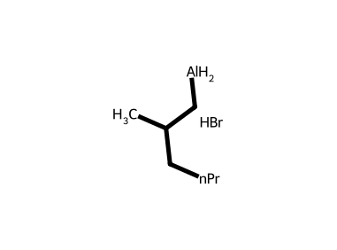 Br.CCCCC(C)[CH2][AlH2]